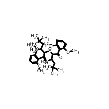 COc1cccc(OC)c1C(=O)C(C(C)CC(C)(C)C)[P](=O)C(C(=O)c1c(OC)cccc1OC)C(C)CC(C)(C)C